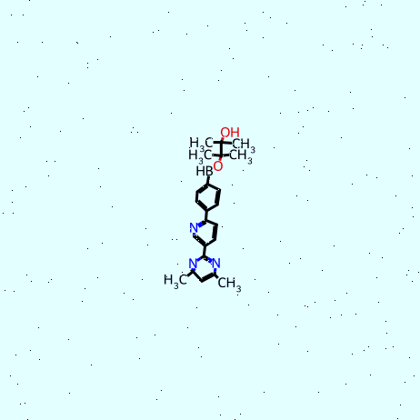 Cc1cc(C)nc(-c2ccc(-c3ccc(BOC(C)(C)C(C)(C)O)cc3)nc2)n1